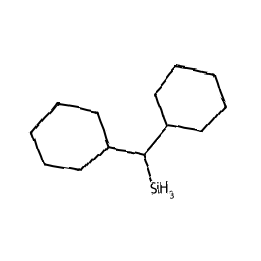 [SiH3]C(C1CCCCC1)C1CCCCC1